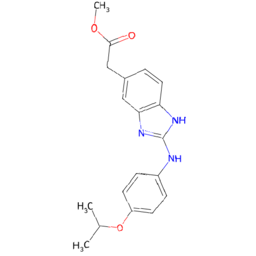 COC(=O)Cc1ccc2[nH]c(Nc3ccc(OC(C)C)cc3)nc2c1